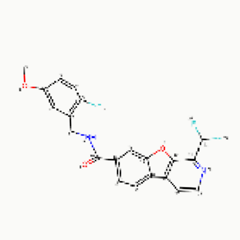 COc1ccc(F)c(CNC(=O)c2ccc3c(c2)oc2c(C(F)F)nccc23)c1